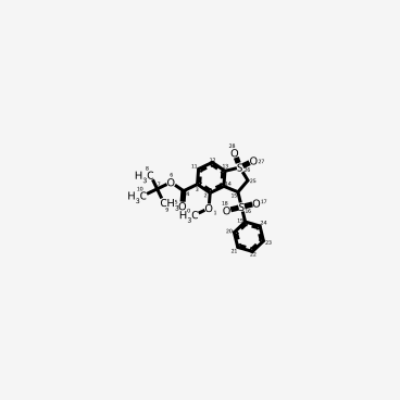 COc1c(C(=O)OC(C)(C)C)ccc2c1C(S(=O)(=O)c1ccccc1)CS2(=O)=O